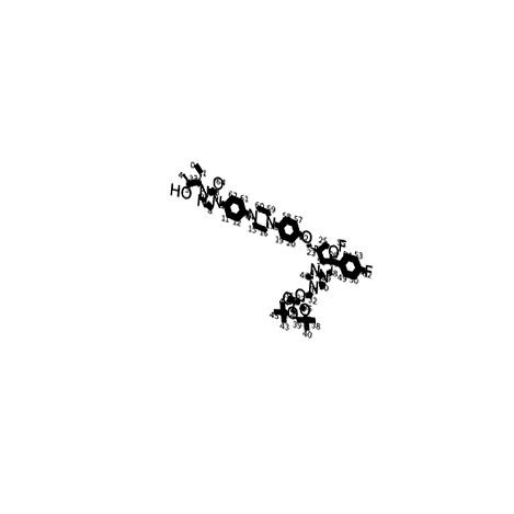 CC[C@@H]([C@H](C)O)n1ncn(-c2ccc(N3CCN(c4ccc(OC[C@@H]5CO[C@@](Cn6c[n+](COP(=O)(OC(C)(C)C)OC(C)(C)C)cn6)(c6ccc(F)cc6F)C5)cc4)CC3)cc2)c1=O